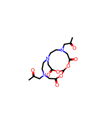 CC(=O)CN1CCN2CCN(CC(C)=O)CC(=O)OC(OC(=O)C2)OC(=O)C1